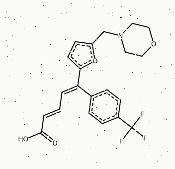 O=C(O)/C=C/C=C(\c1ccc(C(F)(F)F)cc1)c1ccc(CN2CCOCC2)o1